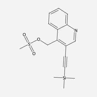 C[Si](C)(C)C#Cc1cnc2ccccc2c1COS(C)(=O)=O